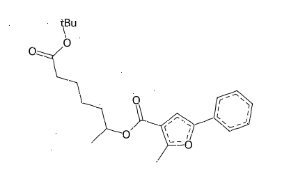 Cc1oc(-c2ccccc2)cc1C(=O)OC(C)CCCCC(=O)OC(C)(C)C